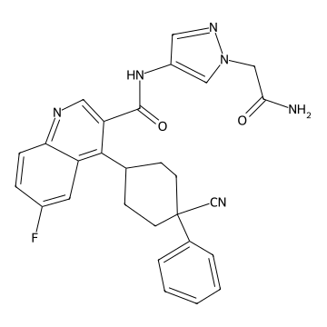 N#CC1(c2ccccc2)CCC(c2c(C(=O)Nc3cnn(CC(N)=O)c3)cnc3ccc(F)cc23)CC1